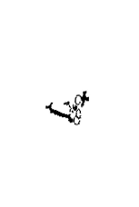 CC(C)CC(C=O)N(C)C(=O)OC(C)(C)C